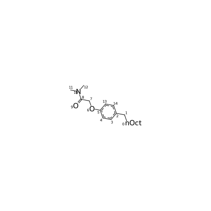 CCCCCCCCCc1ccc(OCC(=O)N(C)C)cc1